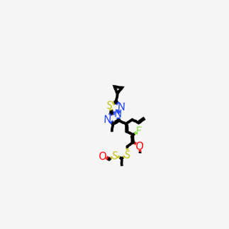 C=CC/C(=C\C(F)=C(/CSC(C)SC=O)OC)c1c(C)nc2sc(C3CC3)nn12